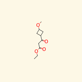 CCOC(=O)CC(=O)C1CC(OC)C1